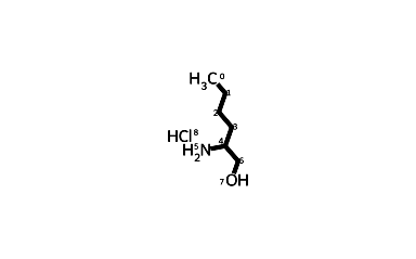 CCCCC(N)CO.Cl